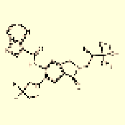 CC(C)(O)[C@H](F)CN1Cc2cc(NC(=O)c3cnn4cccnc34)c(N3CCC(F)(F)C3)cc2C1=O